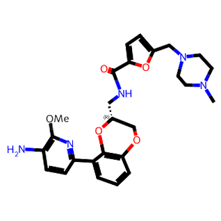 COc1nc(-c2cccc3c2O[C@H](CNC(=O)c2ccc(CN4CCN(C)CC4)o2)CO3)ccc1N